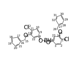 Clc1ccc(OBOc2ccc(Cl)c(OCc3ccccc3)c2)cc1OCc1ccccc1